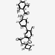 Cc1cc2c(cc1-c1ccc(NC(=O)c3c(F)cccc3F)cc1)C(=O)CC1(CCC1)O2